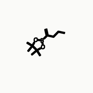 C=C(CCC)B1OC(C)(C)C(C)(C)O1